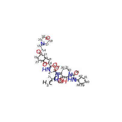 CC(C)C[C@H](NC(=O)c1cc2cc(OCCN3CCOCC3)ccc2o1)C(=O)NC1CCCN(C(=O)Nc2ccccc2)CC1O